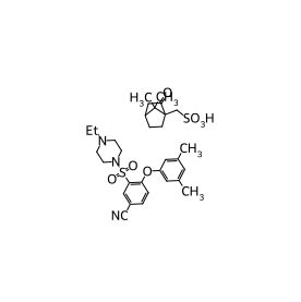 CC1(C)C2CCC1(CS(=O)(=O)O)C(=O)C2.CCN1CCN(S(=O)(=O)c2cc(C#N)ccc2Oc2cc(C)cc(C)c2)CC1